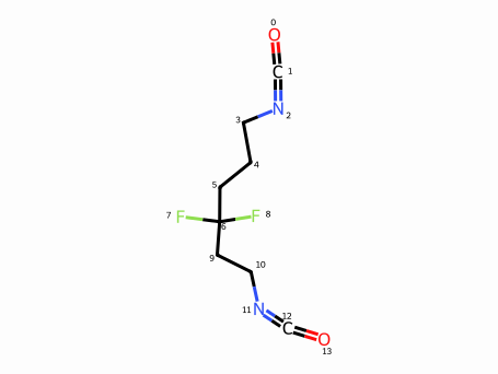 O=C=NCCCC(F)(F)CCN=C=O